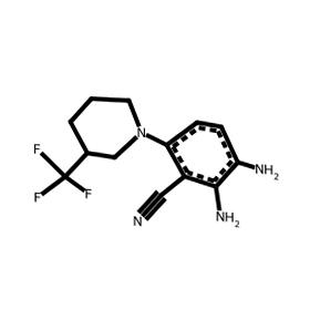 N#Cc1c(N2CCCC(C(F)(F)F)C2)ccc(N)c1N